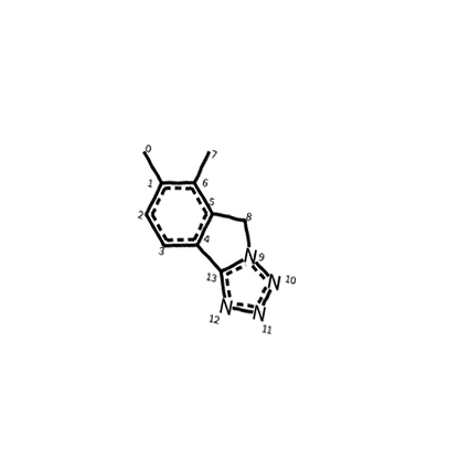 Cc1ccc2c(c1C)Cn1nnnc1-2